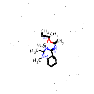 C=C(/N=C(/c1ccccc1)N(C)C(C)NC)O/C(C)=C/C